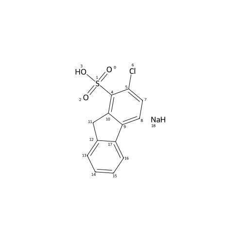 O=S(=O)(O)c1c(Cl)ccc2c1Cc1ccccc1-2.[NaH]